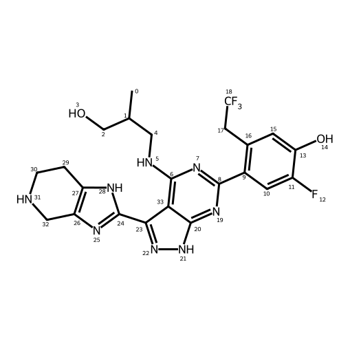 CC(CO)CNc1nc(-c2cc(F)c(O)cc2CC(F)(F)F)nc2[nH]nc(-c3nc4c([nH]3)CCNC4)c12